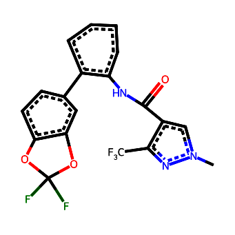 Cn1cc(C(=O)Nc2ccccc2-c2ccc3c(c2)OC(F)(F)O3)c(C(F)(F)F)n1